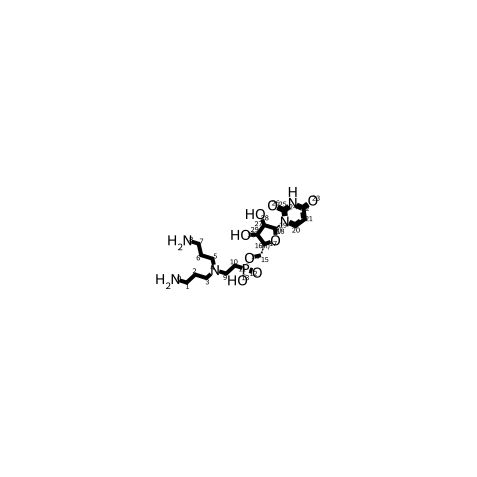 NCCCN(CCCN)CCP(=O)(O)OC[C@H]1O[C@@H](n2ccc(=O)[nH]c2=O)C(O)C1O